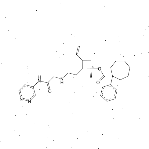 C=CC1C[C@](C)(OC(=O)C2(c3ccccc3)CCCCCC2)C1CCNCC(=O)Nc1ccnnc1